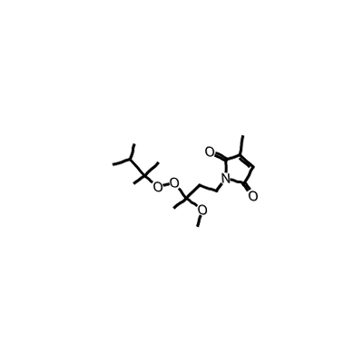 COC(C)(CCN1C(=O)C=C(C)C1=O)OOC(C)(C)C(C)C